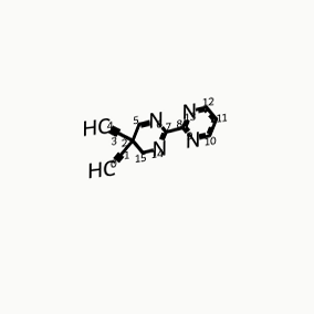 C#CC1(C#C)C=NC(c2ncccn2)=NC1